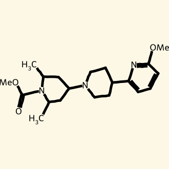 COC(=O)N1C(C)CC(N2CCC(c3cccc(OC)n3)CC2)CC1C